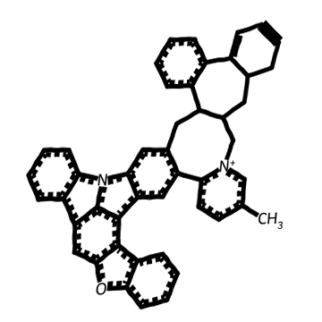 Cc1ccc2[n+](c1)CC1CC3CC#CC=C3c3ccccc3C1Cc1cc3c(cc1-2)c1c2c(cc4c5ccccc5n3c41)oc1ccccc12